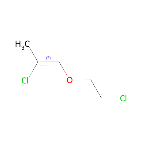 C/C(Cl)=C/OCCCl